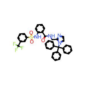 O=C(NCc1nccn1C(c1ccccc1)(c1ccccc1)c1ccccc1)c1ccccc1NS(=O)(=O)c1cccc(C(F)(F)F)c1